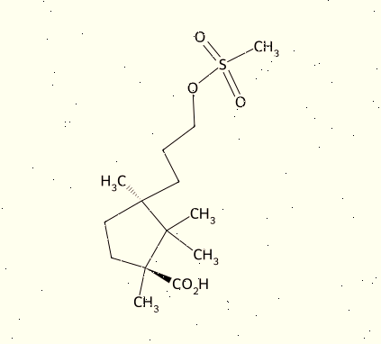 CC1(C)[C@](C)(CCCOS(C)(=O)=O)CC[C@]1(C)C(=O)O